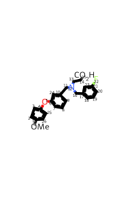 COc1ccc(Oc2cccc(CN(CCC(=O)O)Cc3cccc(F)c3)c2)cc1